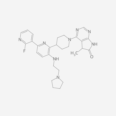 CC1C(=O)Nc2ncnc(N3CCC(c4nc(-c5cccnc5F)ccc4NCCN4CCCC4)CC3)c21